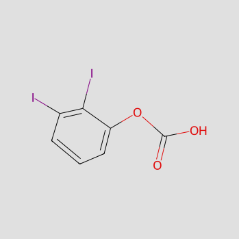 O=C(O)Oc1cccc(I)c1I